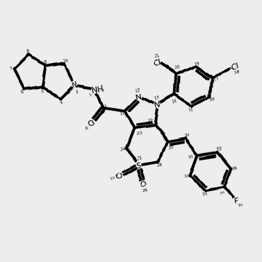 O=C(NN1CC2CCCC2C1)c1nn(-c2ccc(Cl)cc2Cl)c2c1CS(=O)(=O)C/C2=C\c1ccc(F)cc1